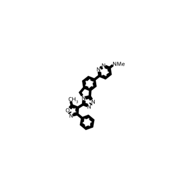 CNc1ccc(-c2ccc3c(c2)-c2nnc(-c4c(-c5ccccc5)noc4C)n2C3)nn1